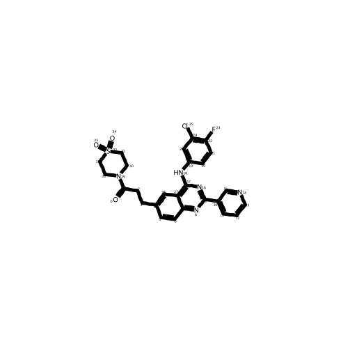 O=C(CCc1ccc2nc(-c3cccnc3)nc(Nc3ccc(F)c(Cl)c3)c2c1)N1CCS(=O)(=O)CC1